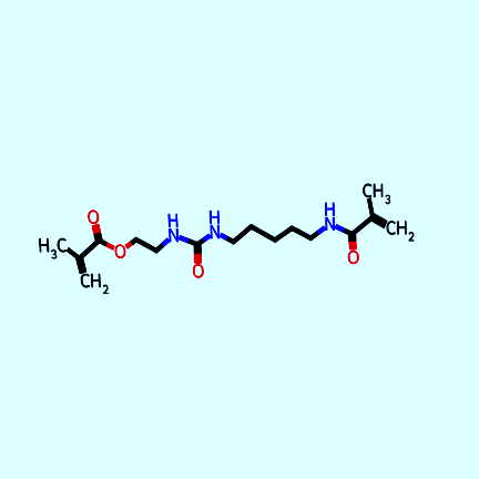 C=C(C)C(=O)NCCCCCNC(=O)NCCOC(=O)C(=C)C